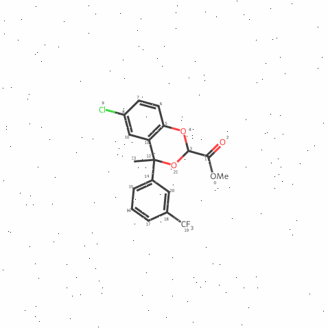 COC(=O)C1Oc2ccc(Cl)cc2C(C)(c2cccc(C(F)(F)F)c2)O1